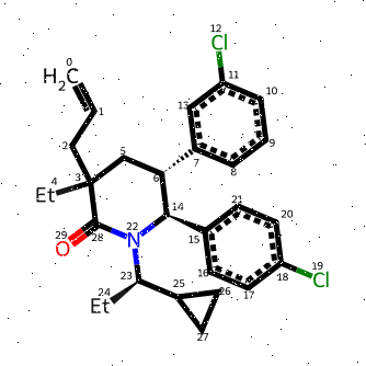 C=CCC1(CC)C[C@H](c2cccc(Cl)c2)[C@@H](c2ccc(Cl)cc2)N([C@H](CC)C2CC2)C1=O